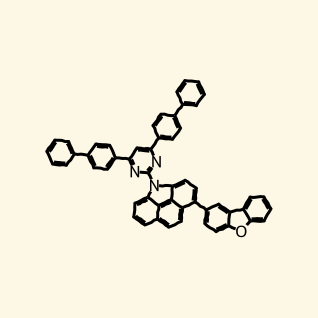 c1ccc(-c2ccc(-c3cc(-c4ccc(-c5ccccc5)cc4)nc(-n4c5cccc6ccc7c(-c8ccc9oc%10ccccc%10c9c8)ccc4c7c65)n3)cc2)cc1